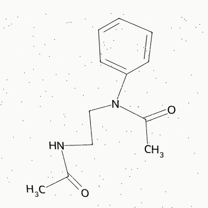 CC(=O)NCCN(C(C)=O)c1ccccc1